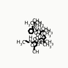 C#CCCC(NC(=O)C1C(C(C)(C)C)CCN1C(=O)[C@@H](NC(=O)NC1(CSC(C)(C)C)CCCCC1)C(C)(C)C)C(=O)C(=O)NCCC